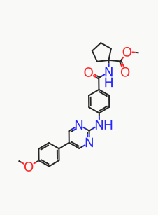 COC(=O)C1(NC(=O)c2ccc(Nc3ncc(-c4ccc(OC)cc4)cn3)cc2)CCCC1